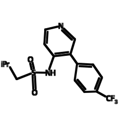 CC(C)CS(=O)(=O)Nc1ccncc1-c1ccc(C(F)(F)F)cc1